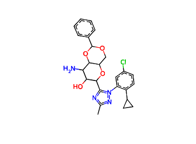 Cc1nc(C2OC3COC(c4ccccc4)OC3C(N)C2O)n(-c2cc(Cl)ccc2C2CC2)n1